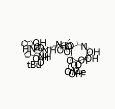 CO[C@]1(C)C[C@H](O[C@H]2[C@H](C)[C@@H](O[C@@H]3O[C@H](C)CC(N(C)CCCCNC(=O)C(NC(=O)OC(C)(C)C)C(Cc4ccccc4)C(=O)N[C@H]4c5ccccc5C[C@H]4O)[C@H]3O)[C@](C)(O)C[C@@H](C)CN(C)[C@H](C)[C@@H](O)[C@](C)(O)[C@@H](I)OC(=O)[C@@H]2C)O[C@@H](C)[C@@H]1O